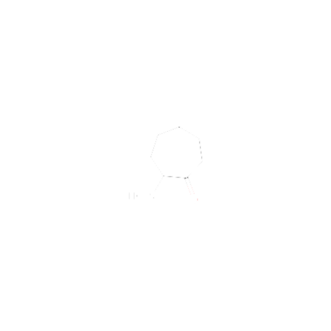 O=C1CCCCCC1S(=O)(=O)O